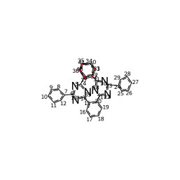 c1ccc(-c2nc(-c3ccccc3)nc(-c3ccccc3-c3nc(-c4ccccc4)nc(-c4ccccc4)n3)n2)cc1